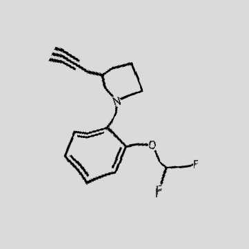 C#CC1CCN1c1ccccc1OC(F)F